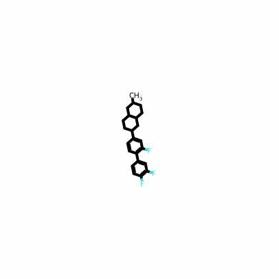 CC1CCC2CC(c3ccc(-c4ccc(F)c(F)c4)c(F)c3)CCC2C1